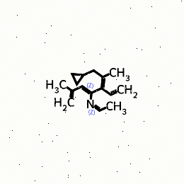 C=CC(=C(C)CC1CC1)C(=C/C(=C)C)/N=C\C